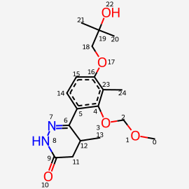 COCOc1c(C2=NNC(=O)CC2C)ccc(OCC(C)(C)O)c1C